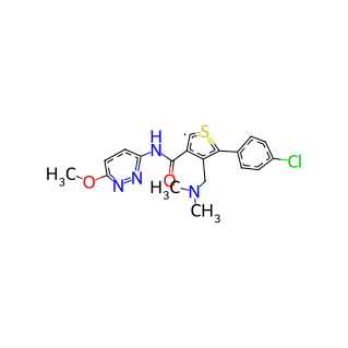 COc1ccc(NC(=O)c2[c]sc(-c3ccc(Cl)cc3)c2CN(C)C)nn1